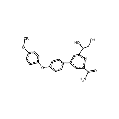 NC(=O)c1cc(-c2ccc(Oc3ccc(OC(F)(F)F)cc3)cc2)cc([C@@H](O)CO)n1